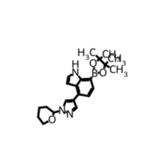 CC1(C)OB(c2ccc(-c3cnn(C4CCCCO4)c3)c3cc[nH]c23)OC1(C)C